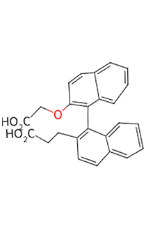 O=C(O)CCc1ccc2ccccc2c1-c1c(OCC(=O)O)ccc2ccccc12